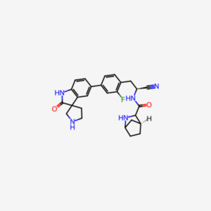 N#C[C@H](Cc1ccc(-c2ccc3c(c2)C2(CCNC2)C(=O)N3)cc1F)NC(=O)C1NC2CC[C@H]1C2